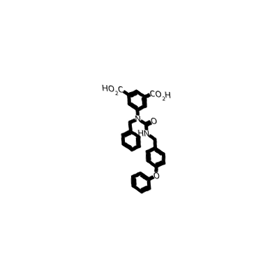 O=C(O)c1cc(C(=O)O)cc(N(Cc2ccccc2)C(=O)NCc2ccc(Oc3ccccc3)cc2)c1